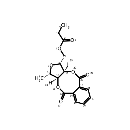 CCC(=O)OC[C@H]1O[C@@H](C)[C@@H]2OC(=O)c3ccccc3C(=O)O[C@@H]21